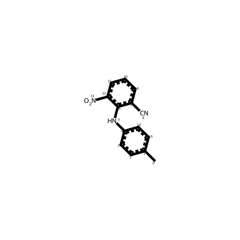 Cc1ccc(Nc2c(C#N)cccc2[N+](=O)[O-])cc1